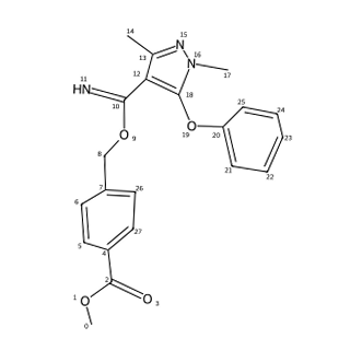 COC(=O)c1ccc(COC(=N)c2c(C)nn(C)c2Oc2ccccc2)cc1